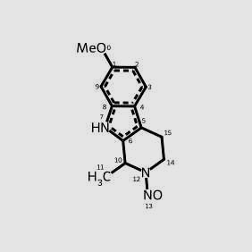 COc1ccc2c3c([nH]c2c1)C(C)N(N=O)CC3